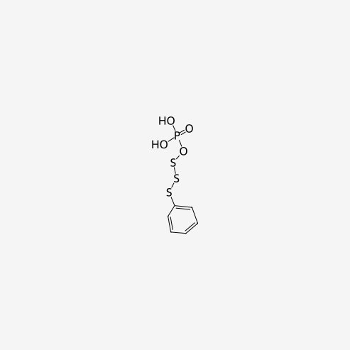 O=P(O)(O)OSSSc1ccccc1